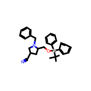 CC(C)(C)[Si](OCC1CC(C#N)CN1Cc1ccccc1)(c1ccccc1)c1ccccc1